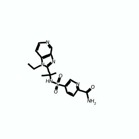 CCn1c(C(C)(C)NS(=O)(=O)c2ccc(C(N)=O)nc2)nc2cnccc21